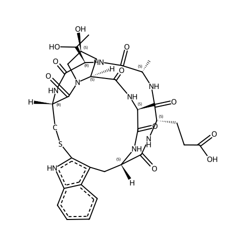 CC(O)[C@H]1NC(=O)[C@H](C)NC(=O)[C@H](CCC(=O)O)NC(=O)[C@@H]2Cc3c([nH]c4ccccc34)SC[C@H](NC1=O)C(=O)N1C[C@@H](O)C[C@H]1C(=O)N[C@@H](C)C(=O)N2